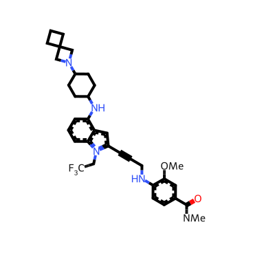 CNC(=O)c1ccc(NCC#Cc2cc3c(NC4CCC(N5CC6(CCC6)C5)CC4)cccc3n2CC(F)(F)F)c(OC)c1